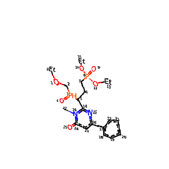 CCOC[PH](=O)C(CCP(=O)(OCC)OCC)c1nc(-c2ccccc2)cc(=O)n1C